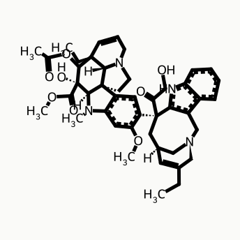 CCC1=C[C@@H]2C[N@](C1)Cc1c([nH]c3ccccc13)[C@@](C(=O)CO)(c1cc3c(cc1OC)N(C)[C@@H]1[C@]34CCN3CC=C[C@@](CC)(C(OC(C)=O)[C@]1(O)C(=O)OC)[C@H]34)C2